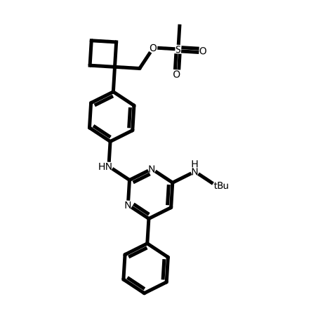 CC(C)(C)Nc1cc(-c2ccccc2)nc(Nc2ccc(C3(COS(C)(=O)=O)CCC3)cc2)n1